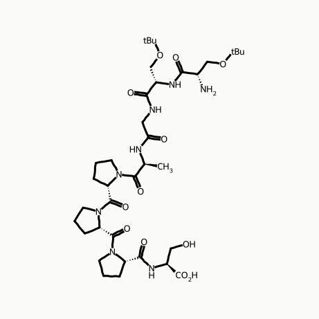 C[C@H](NC(=O)CNC(=O)[C@H](COC(C)(C)C)NC(=O)[C@@H](N)COC(C)(C)C)C(=O)N1CCC[C@H]1C(=O)N1CCC[C@H]1C(=O)N1CCC[C@H]1C(=O)N[C@@H](CO)C(=O)O